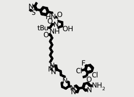 Cc1ncsc1-c1ccc(CNC(=O)[C@@H]2C[C@@H](O)CN2C(=O)C(NC(=O)CCCCCCCCn2cc(CCCN3CCCC(n4cc(-c5cnc(N)c(OC(C)c6c(Cl)ccc(F)c6Cl)c5)cn4)C3)nn2)C(C)(C)C)cc1